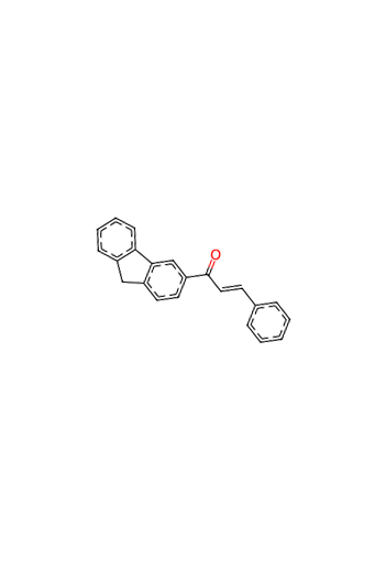 O=C(C=Cc1ccccc1)c1ccc2c(c1)-c1ccccc1C2